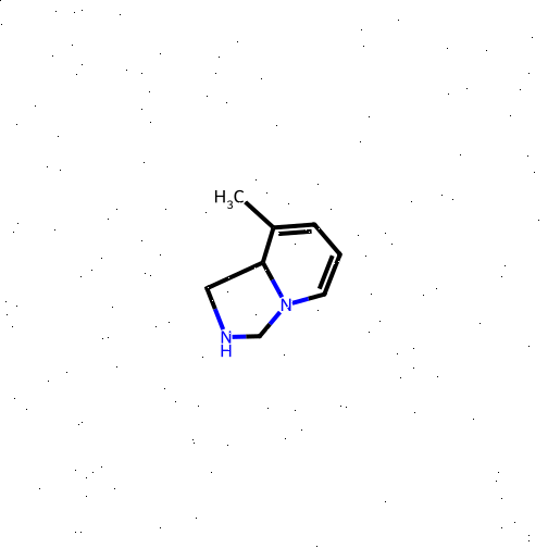 CC1=CC=CN2CNCC12